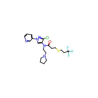 O=C(CCSCCC(F)(F)F)N(CCN1CCCC1)c1cn(-c2cccnc2)nc1Cl